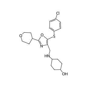 OC1CCC(NCc2nc(C3CCOCC3)oc2Sc2ccc(Cl)cc2)CC1